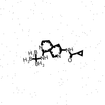 BC(B)(B)Nc1nccc2cc(NC(=O)C3CC3)ncc12